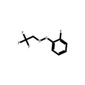 Fc1ccccc1SSCC(F)(F)F